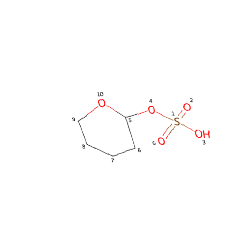 O=S(=O)(O)OC1CCCCO1